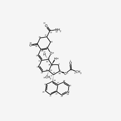 CC(=O)O[C@@H]1C[C@H]2[C@@H]3OC4=C(C=C3C=C[C@]2(C)[C@H]1c1cccc2cnccc12)C(=O)CC(C(N)=O)C4